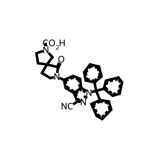 N#Cc1nn(C(c2ccccc2)(c2ccccc2)c2ccccc2)c2ccc(N3CCC4(CCN(C(=O)O)C4)C3=O)cc12